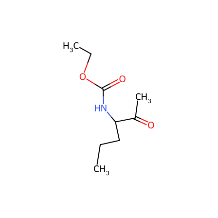 CCCC(NC(=O)OCC)C(C)=O